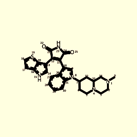 CN1CCN2CCC(n3cc(C4=C(c5c[nH]c6ccsc56)C(=O)NC4=O)c4ccccc43)CC2C1